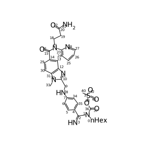 CCCCCCN(C(=N)c1ccc(NCc2nc3cc(C(=O)N(CCC(N)=O)c4ccccn4)ccc3n2C)cc1)C(=O)OS(C)(=O)=O